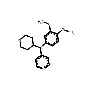 COc1ccc([C@@H](c2ccncc2)C2CCNCC2)cc1OC